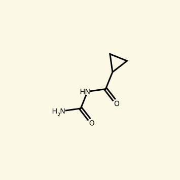 NC(=O)NC(=O)C1CC1